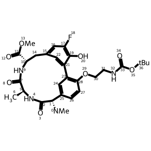 CN[C@@H]1C(=O)N[C@@H](C)C(=O)N[C@H](C(=O)OC)Cc2cc(F)c(O)c(c2)-c2cc1ccc2OCCNC(=O)OC(C)(C)C